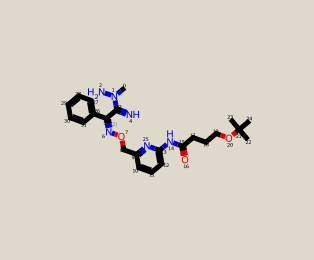 CN(N)C(=N)/C(=N\OCc1cccc(NC(=O)CCCOC(C)(C)C)n1)c1ccccc1